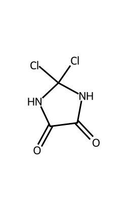 O=C1NC(Cl)(Cl)NC1=O